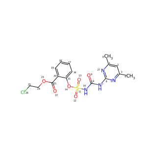 Cc1cc(C)nc(NC(=O)NS(=O)(=O)Oc2ccccc2C(=O)OCCCl)n1